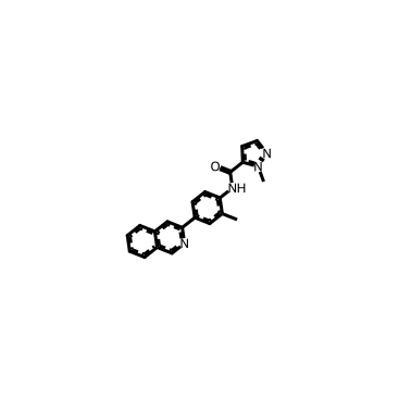 Cc1cc(-c2cc3ccccc3cn2)ccc1NC(=O)c1ccnn1C